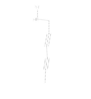 [3H]BCC#CC#CC